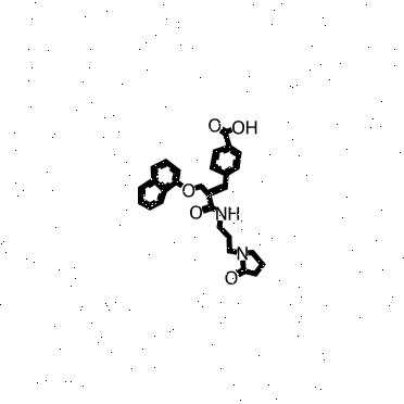 O=C(NCCCN1CCCC1=O)/C(=C/c1ccc(C(=O)O)cc1)COc1cccc2ccccc12